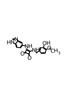 COc1ccc(CNc2c(Nc3ccc4[nH]cnc4c3)c(=O)c2=O)cc1O